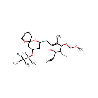 C=CC(O)C(C)C(OCOC)/C(C)=C/CC1CC(O[Si](C)(C)C(C)(C)C)CC2(CCCCO2)O1